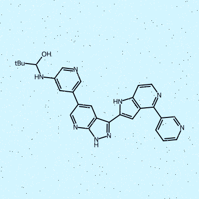 CC(C)(C)C(O)Nc1cncc(-c2cnc3[nH]nc(-c4cc5c(-c6cccnc6)nccc5[nH]4)c3c2)c1